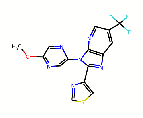 COc1cnc(-n2c(-c3cscn3)nc3cc(C(F)(F)F)cnc32)cn1